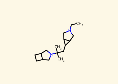 CCN1CC2C(C1)C2CC(C)(C)N1CC2CCC2C1